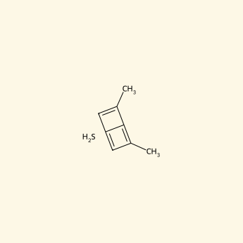 Cc1cc2cc(C)c1-2.S